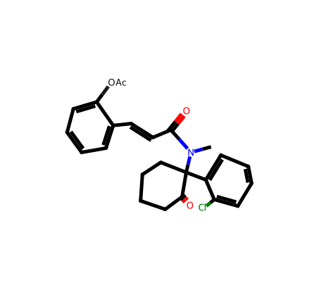 CC(=O)Oc1ccccc1C=CC(=O)N(C)C1(c2ccccc2Cl)CCCCC1=O